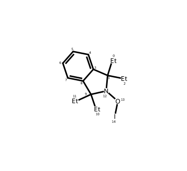 CCC1(CC)c2ccccc2C(CC)(CC)N1OI